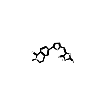 CN1CCc2cc(-c3ccc(C=C4NC(=S)NC4=O)s3)ccc2C1=O